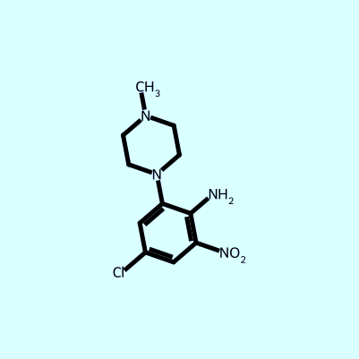 CN1CCN(c2cc(Cl)cc([N+](=O)[O-])c2N)CC1